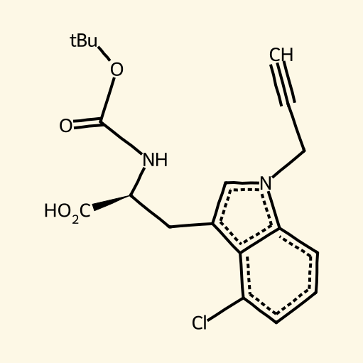 C#CCn1cc(C[C@H](NC(=O)OC(C)(C)C)C(=O)O)c2c(Cl)cccc21